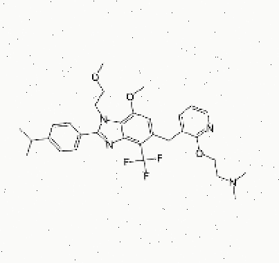 COCCn1c(-c2ccc(C(C)C)cc2)nc2c(C(F)(F)F)c(Cc3cccnc3OCCN(C)C)cc(OC)c21